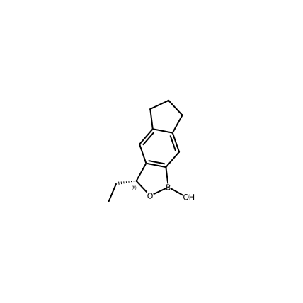 CC[C@H]1OB(O)c2cc3c(cc21)CCC3